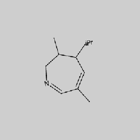 CC1=CC(C(C)C)C(C)CN=C1